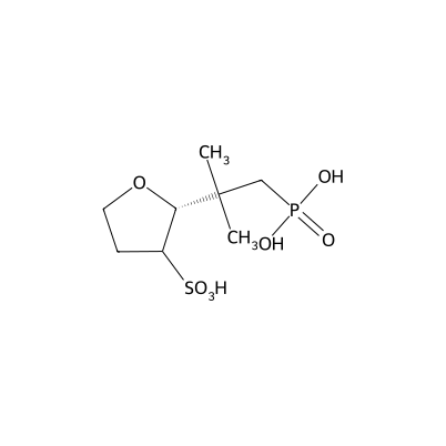 CC(C)(CP(=O)(O)O)[C@H]1OCCC1S(=O)(=O)O